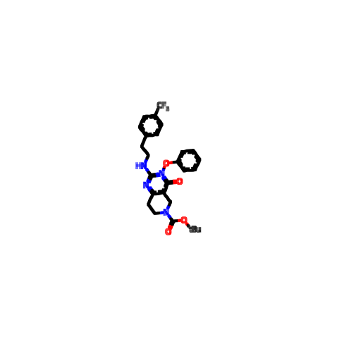 CC(C)(C)OC(=O)N1CCc2nc(NCCc3ccc(C(F)(F)F)cc3)n(Oc3ccccc3)c(=O)c2C1